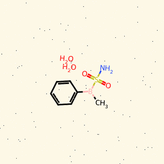 CB(c1ccccc1)S(N)(=O)=O.O.O